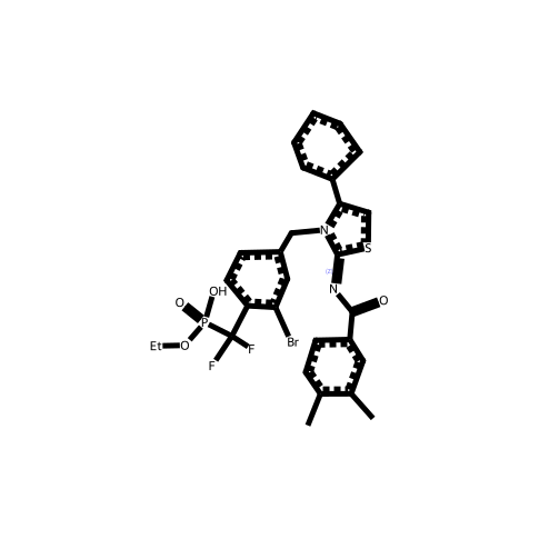 CCOP(=O)(O)C(F)(F)c1ccc(Cn2c(-c3ccccc3)cs/c2=N\C(=O)c2ccc(C)c(C)c2)cc1Br